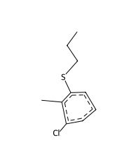 CCCSc1cccc(Cl)c1C